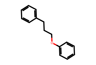 c1ccc(CCCOc2ccccc2)cc1